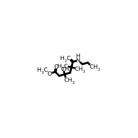 C=C(NCCC)C(C)(C)CC(C)(C)CC(=O)OC